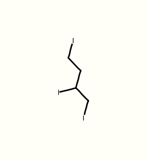 ICCC(I)CI